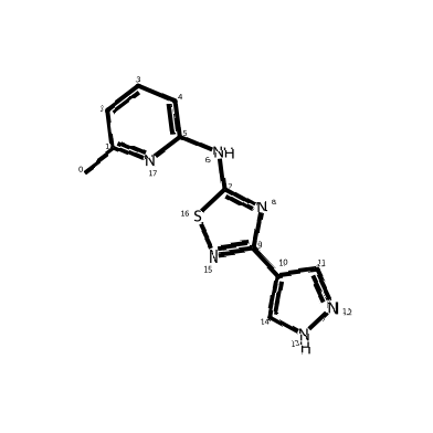 Cc1cccc(Nc2nc(-c3cn[nH]c3)ns2)n1